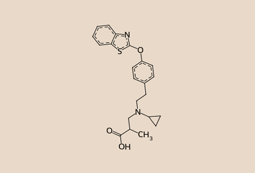 CC(CN(CCc1ccc(Oc2nc3ccccc3s2)cc1)C1CC1)C(=O)O